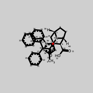 Cc1cc(N2[C@H]3CC[C@@H]2[C@@H](C(=O)O)N(C(=O)C(c2ccccc2)c2ccccc2)C3)n(Cc2ccccc2)n1